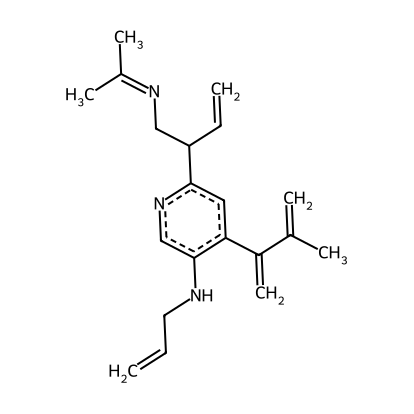 C=CCNc1cnc(C(C=C)CN=C(C)C)cc1C(=C)C(=C)C